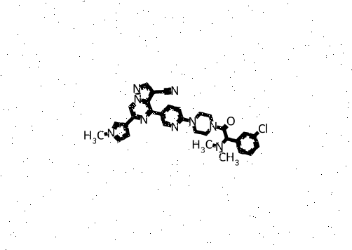 CN(C)C(C(=O)N1CCN(c2ccc(-c3nc(-c4ccn(C)c4)cn4ncc(C#N)c34)cn2)CC1)c1cccc(Cl)c1